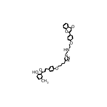 Cc1ccc(O)c(C(=O)/C=C/c2ccc(OCCCCc3cn(CCNCCOc4ccc(-c5cc(=O)c6ccccc6o5)cc4)nn3)cc2)c1